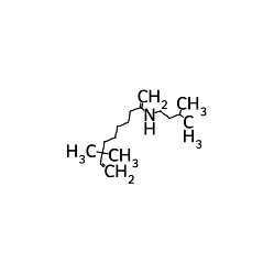 C=CC(C)(C)CCCCCC(=C)NCCC(C)C